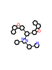 c1ccc(-c2cc(-c3cccc(-c4cccnc4)c3)nc(-c3cc(-c4ccc5oc6ccc7ccccc7c6c5c4)cc(-c4ccc5oc6ccc7ccccc7c6c5c4)c3)n2)cc1